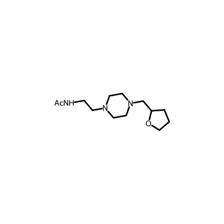 CC(=O)NCCN1CCN(CC2CCCO2)CC1